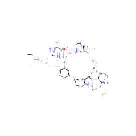 C=CC(=O)N1C[C@@H](O)[C@H](C(=O)N(C)C(C(=O)N[C@H]2Cc3cccc(c3)-c3ccc4c(c3)c(c(-c3cccnc3[C@H](C)OC)n4CC)CC(C)(C)COC(=O)[C@@H]3CCCN(N3)C2=O)C(C)C)C1